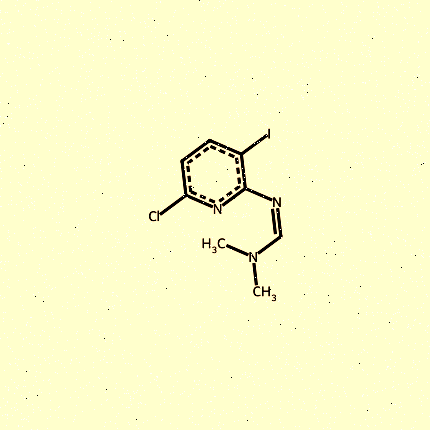 CN(C)/C=N\c1nc(Cl)ccc1I